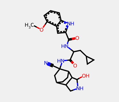 COc1cccc2[nH]c(C(=O)NC(CC3CC3)C(=O)NC3(C#N)CC4CCC3C3C(O)NCC43)cc12